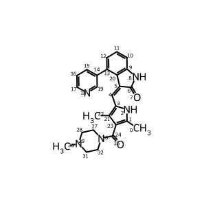 Cc1[nH]c(C=C2C(=O)Nc3cccc(-c4cccnc4)c32)c(C)c1C(=O)N1CCN(C)CC1